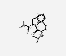 CC(C)N[C@@H]1CCc2cccc3c2N(C1=O)[C@H](C(=O)NI)C3